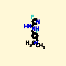 CN(C)Cc1ccc(CNC(=N)c2cncc(F)c2)c(F)c1